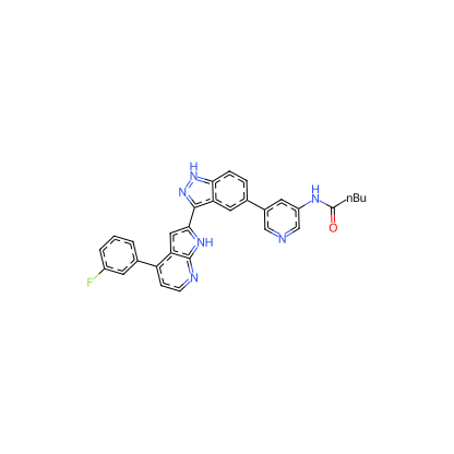 CCCCC(=O)Nc1cncc(-c2ccc3[nH]nc(-c4cc5c(-c6cccc(F)c6)ccnc5[nH]4)c3c2)c1